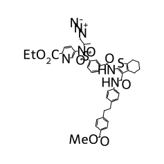 CCOC(=O)c1ccc(N(C(C)CN=[N+]=[N-])S(=O)(=O)c2cccc(C(=O)Nc3sc4c(c3C(=O)Nc3ccc(CCc5ccc(C(=O)OC)cc5)cc3)CCCC4)c2)cn1